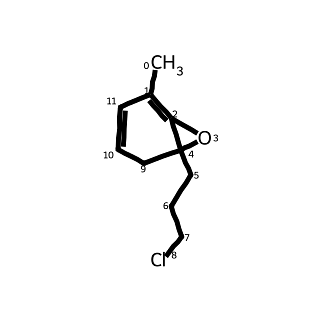 CC1=C2OC2(CCCCl)CC=C1